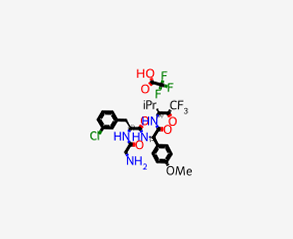 COc1ccc([C@H](NC(=O)[C@H](Cc2cccc(Cl)c2)NC(=O)CN)C(=O)N[C@H](C(=O)C(F)(F)F)C(C)C)cc1.O=C(O)C(F)(F)F